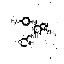 Cn1ncc2c(Nc3ccc(C(F)(F)F)cc3)nc(NCC3COCCN3)nc21